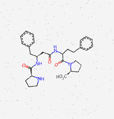 O=C(C[C@H](Cc1ccccc1)NC(=O)[C@@H]1CCCN1)NC(CCc1ccccc1)C(=O)N1CCC[C@H]1C(=O)O